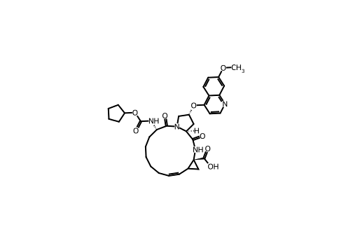 COc1ccc2c(O[C@@H]3C[C@H]4C(=O)N[C@]5(C(=O)O)CC5/C=C\CCCCC[C@H](NC(=O)OC5CCCC5)C(=O)N4C3)ccnc2c1